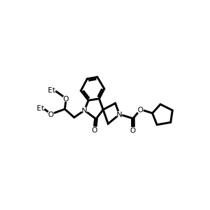 CCOC(CN1C(=O)C2(CN(C(=O)OC3CCCC3)C2)c2ccccc21)OCC